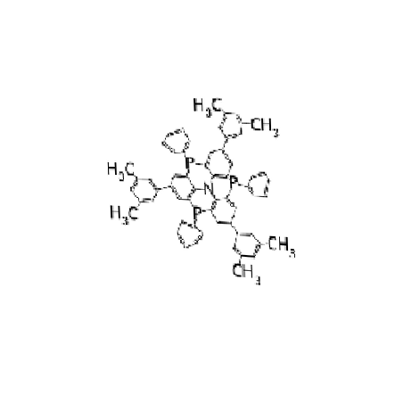 Cc1cc(C)cc(-c2cc3c4c(c2)P(c2ccccc2)c2cc(-c5cc(C)cc(C)c5)cc5c2N4c2c(cc(-c4cc(C)cc(C)c4)cc2P5c2ccccc2)P3c2ccccc2)c1